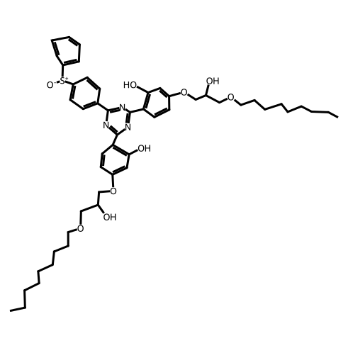 CCCCCCCCCOCC(O)COc1ccc(-c2nc(-c3ccc([S+]([O-])c4ccccc4)cc3)nc(-c3ccc(OCC(O)COCCCCCCCCC)cc3O)n2)c(O)c1